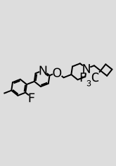 Cc1ccc(-c2ccc(OCC3CCN(CC4(C(F)(F)F)CCC4)CC3)nc2)c(F)c1